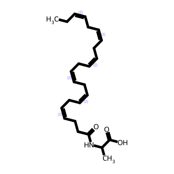 CC/C=C\C/C=C\C/C=C\C/C=C\C/C=C\C/C=C\CCC(=O)NC(C)C(=O)O